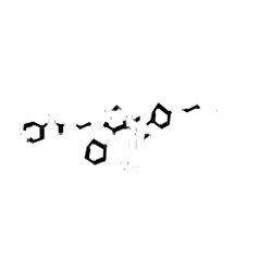 COc1ccccc1Oc1c(NS(=O)(=O)c2ccc(OCCOC(C)=O)cc2)ncnc1OCCOC(=O)Nc1ccncc1